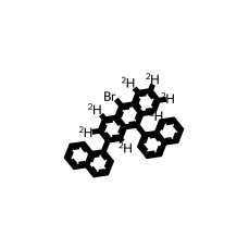 [2H]c1c([2H])c([2H])c2c(-c3cccc4ccccc34)c3c([2H])c(-c4cccc5ccccc45)c([2H])c([2H])c3c(Br)c2c1[2H]